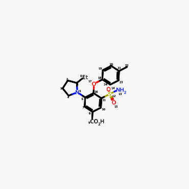 CCC1CCCN1c1cc(C(=O)O)cc(S(N)(=O)=O)c1Oc1ccc(C)cc1